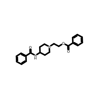 O=C(NC1CCN(CCOC(=O)c2ccccc2)CC1)c1ccccc1